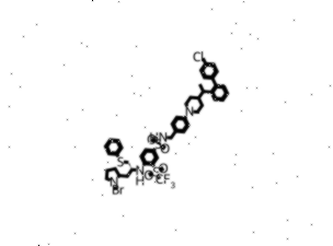 CC(c1ccccc1-c1ccc(Cl)cc1)C1CCN(c2ccc(CNS(=O)(=O)c3ccc(N[C@@H](CSc4ccccc4)CC4CCCN4Br)c(S(=O)(=O)C(F)(F)F)c3)cc2)CC1